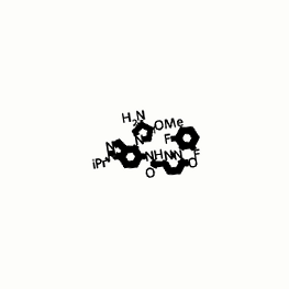 CO[C@@H]1CN(c2c(NC(=O)c3ccc(=O)n(-c4c(F)cccc4F)n3)ccc3c2cnn3C(C)C)C[C@H]1N